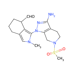 Cn1cc2c(c1-n1nc(N)c3c1CN(S(C)(=O)=O)CC3)C(C=O)CCC2